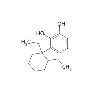 CCC1CCCCC1(CC)c1cccc(O)c1O